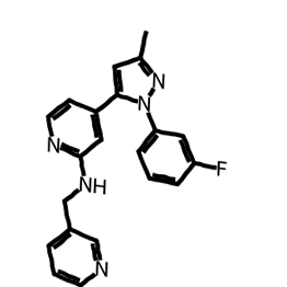 Cc1cc(-c2ccnc(NCc3cccnc3)c2)n(-c2cccc(F)c2)n1